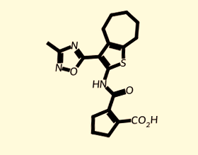 Cc1noc(-c2c(NC(=O)C3=C(C(=O)O)CCC3)sc3c2CCCCC3)n1